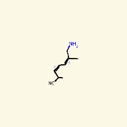 C/C(=C/C=C\C(C)C#N)CN